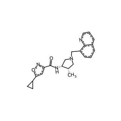 C[C@H]1CN(Cc2cccc3cccnc23)C[C@H]1NC(=O)c1cc(C2CC2)on1